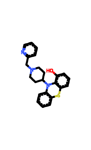 Oc1cccc2c1N(C1CCN(Cc3ccccn3)CC1)c1ccccc1S2